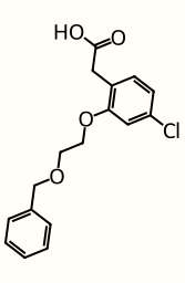 O=C(O)Cc1ccc(Cl)cc1OCCOCc1ccccc1